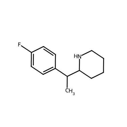 CC(c1ccc(F)cc1)C1CCCCN1